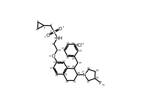 Cl.O=S(=O)(CC1CC1)NCCOc1ccc2c(c1)C(Cc1ccccc1)C(N1CCC(F)C1)CC2